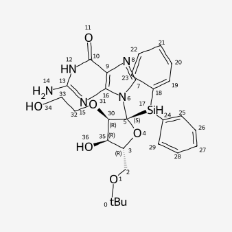 CC(C)(C)OC[C@H]1O[C@](n2cnc3c(=O)[nH]c(N)nc32)([SiH](c2ccccc2)c2ccccc2)[C@H](OCCO)[C@@H]1O